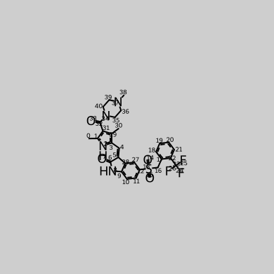 Cc1[nH]c(/C=C2\C(=O)Nc3ccc(S(=O)(=O)Cc4ccccc4C(F)(F)F)cc32)c(C)c1C(=O)N1CCN(C)CC1